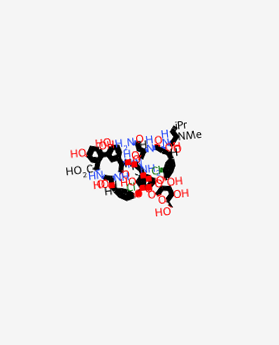 CN[C@H](CC(C)C)C(=O)NC1C(=O)N[C@@H](CC(N)=O)C(=O)N[C@H]2C(=O)N[C@H]3C(=O)N[C@H](C(=O)N[C@@H](C(=O)O)c4cc(O)cc(O)c4-c4cc3ccc4O)[C@H](O)c3ccc(c(Cl)c3)Oc3cc2cc(c3O[C@@H]2O[C@H](CO)[C@@H](O)[C@H](O)[C@H]2O[C@H]2C[C@](C)(N)[C@H](O)[C@H](C)O2)Oc2ccc(cc2Cl)[C@H]1O